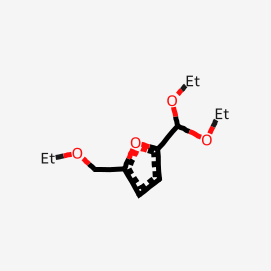 CCOCc1ccc(C(OCC)OCC)o1